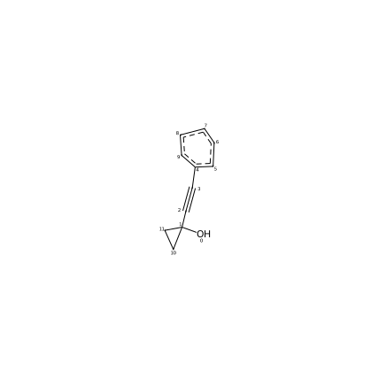 OC1(C#Cc2ccccc2)CC1